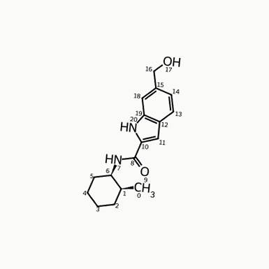 C[C@H]1CCCC[C@H]1NC(=O)c1cc2ccc(CO)cc2[nH]1